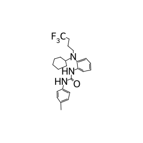 Cc1ccc(NC(=O)Nc2ccccc2N(CCCC(F)(F)F)C2CCCCC2)cc1